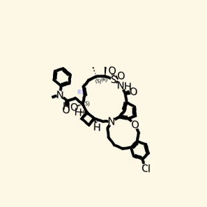 C[C@@H]1[C@@H](C)C/C=C/[C@](O)(CC(=O)N(C)c2ccccc2)[C@@H]2CC[C@H]2CN2CCCCc3cc(Cl)ccc3COc3ccc(cc32)C(=O)NS1(=O)=O